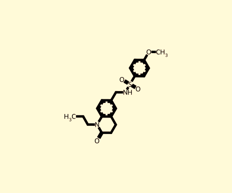 CCCN1C(=O)CCc2cc(CNS(=O)(=O)c3ccc(OC)cc3)ccc21